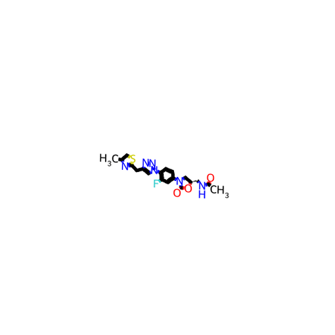 CC(=O)NC[C@H]1CN(c2ccc(-n3cc(CC4=NC(C)CS4)nn3)c(F)c2)C(=O)O1